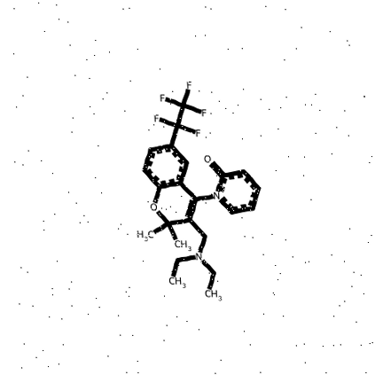 CCN(CC)CC1=C(n2ccccc2=O)c2cc(C(F)(F)C(F)(F)F)ccc2OC1(C)C